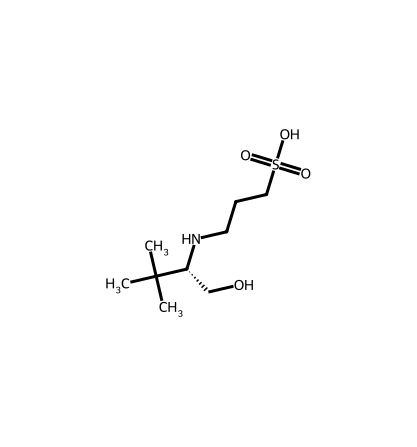 CC(C)(C)[C@@H](CO)NCCCS(=O)(=O)O